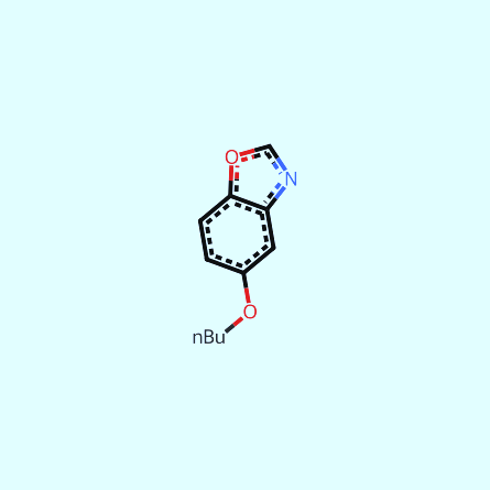 CCCCOc1ccc2ocnc2c1